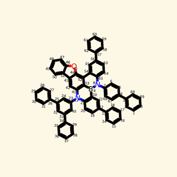 c1ccc(-c2ccc(N3B4c5cc(-c6ccccc6)ccc5N(c5cc(-c6ccccc6)cc(-c6ccccc6)c5)c5cc6c(oc7ccccc76)c(c54)-c4cc(-c5ccccc5)ccc43)cc2)cc1